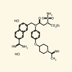 CCOC(=O)N(CC(=O)N(Cc1ccc2ccc(C(=N)N)cc2c1)c1ccc(OC2CCN(C(C)=N)CC2)cc1)S(N)(=O)=O.Cl.Cl